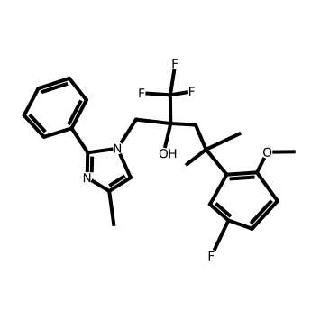 COc1ccc(F)cc1C(C)(C)CC(O)(Cn1cc(C)nc1-c1ccccc1)C(F)(F)F